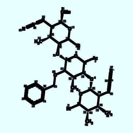 CCC1O[C@H](O[C@@H]2C(C(C)=O)O[C@@H](O[C@@H]3C(CC)O[C@H](OC)C(N=[N+]=[N-])[C@H]3C)C(OCc3ccccc3)[C@H]2C)C(N=[N+]=[N-])[C@@H](C)[C@@H]1C